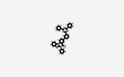 O=c1c2cc(-c3cccc(-c4nc(-c5ccccc5)nc(-c5ccccc5)n4)c3)ccc2n2c3ccccc3nc2n1-c1ccccc1